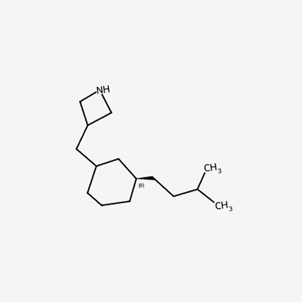 CC(C)CC[C@H]1CCCC(CC2CNC2)C1